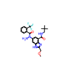 COCc1nc2c(C(=O)NCC(C)(C)C)cc(N(N)C(=O)c3ccccc3C(F)(F)F)cc2[nH]1